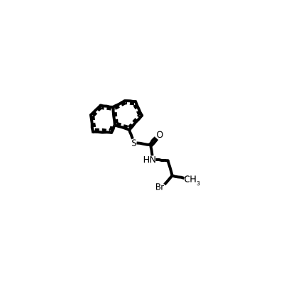 CC(Br)CNC(=O)Sc1cccc2ccccc12